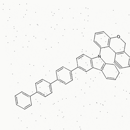 c1ccc2c(c#1)-c1c(cccc1-n1c3c(c4cc(-c5ccc(-c6ccc(-c7ccccc7)cc6)cc5)ccc41)C=CCC3)OC2